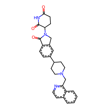 O=C1CCC(N2Cc3cc(C4CCN(Cc5nccc6ccccc56)CC4)ccc3C2=O)C(=O)N1